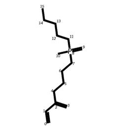 C=CC(=C)CCCCP(=C)(C)CCCCC